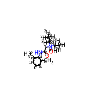 [2H]C([2H])([2H])C([2H])([2H])[N+]([O-])(CC(=O)Nc1c(C)cccc1C)C([2H])([2H])C([2H])([2H])[2H]